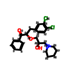 O=C(c1ccccc1)C(Cc1ccc(Cl)c(Cl)c1)OCC(O)CN1CCCCC1